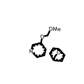 COCOc1cccnc1.c1cc2ccc1CO2